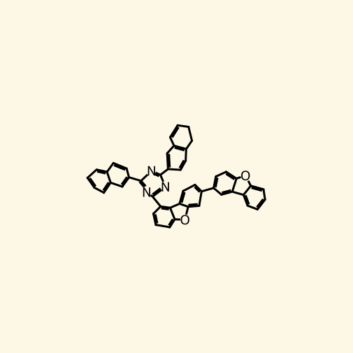 C1=Cc2cc(-c3nc(-c4ccc5ccccc5c4)nc(-c4cccc5oc6cc(-c7ccc8oc9ccccc9c8c7)ccc6c45)n3)ccc2CC1